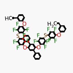 C#Cc1cccc(Oc2c(F)c(F)c(Sc3c(F)c(F)c(Oc4cc(-c5ccccc5)c(Oc5c(F)c(F)c(Sc6c(F)c(F)c(Oc7cccc(C=C)c7)c(F)c6F)c(F)c5F)cc4-c4ccccc4)c(F)c3F)c(F)c2F)c1